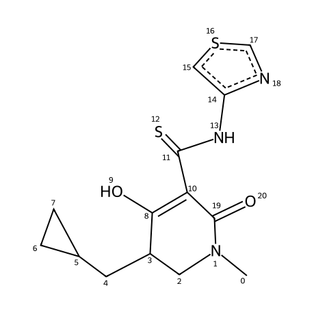 CN1CC(CC2CC2)C(O)=C(C(=S)Nc2cscn2)C1=O